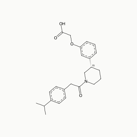 CC(C)c1ccc(CC(=O)N2CCC[C@@H](c3cccc(OCC(=O)O)c3)C2)cc1